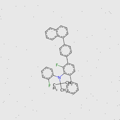 CC(C)(C)N(c1ccccc1F)c1c(-c2ccccc2)ccc(-c2ccc(-c3cccc4ccccc34)cc2)c1F